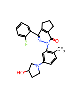 O=c1c2c(c(-c3ccccc3F)nn1-c1cc(N3CCC(O)C3)ccc1C(F)(F)F)CCC2